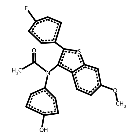 COc1ccc2c(N(C(C)=O)c3ccc(O)cc3)c(-c3ccc(F)cc3)sc2c1